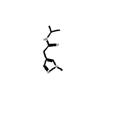 CC(C)NC(=O)Cc1cnn(C)c1